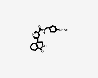 CC(=O)Nc1ccc(CNC(=O)c2cncc(-c3c[nH]c(=O)c4c3CCCC4)c2)cc1